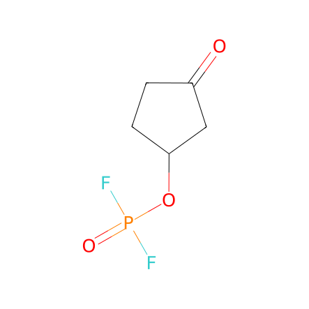 O=C1CCC(OP(=O)(F)F)C1